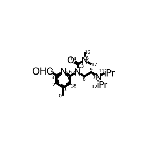 Cc1cc(C=O)nc(N(CCN(C(C)C)C(C)C)C(=O)N(C)C)c1